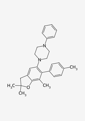 Cc1ccc(-c2c(N3CCN(c4ccccc4)CC3)cc3c(c2C)OC(C)(C)C3)cc1